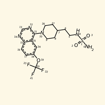 NS(=O)(=O)NCCC1CCN(c2ncnc3ccc(OC(F)(F)F)cc23)CC1